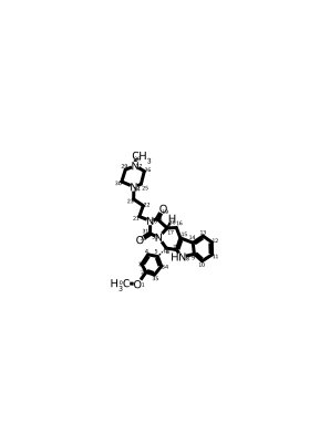 COc1ccc([C@H]2c3[nH]c4ccccc4c3C[C@H]3C(=O)N(CCCN4CCN(C)CC4)C(=O)N23)cc1